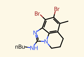 CCCCNc1nc2c(Br)c(Br)c(C)c3c2n1CCC3